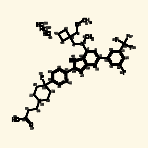 COCC1(CN(C)c2cc(-c3cc(F)cc(C(F)(F)F)c3)nc3nc(-c4ccc(C5(F)CCN(CCC(=O)O)CC5)cn4)[nH]c23)CCC1.Cl.Cl.Cl